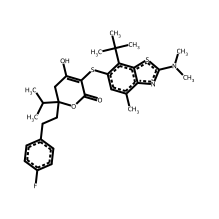 Cc1cc(SC2=C(O)CC(CCc3ccc(F)cc3)(C(C)C)OC2=O)c(C(C)(C)C)c2sc(N(C)C)nc12